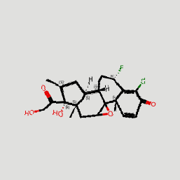 C[C@H]1C[C@H]2[C@@H]3C[C@H](F)C4=C(Cl)C(=O)C=C[C@]4(C)C34OC4C[C@]2(C)[C@@]1(O)C(=O)CO